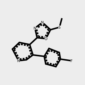 CSc1nnc(-c2ccncc2-c2ccc(F)cc2)o1